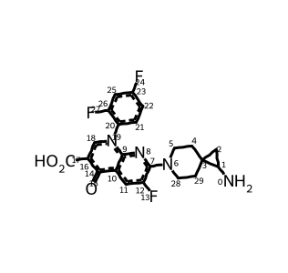 NC1CC12CCN(c1nc3c(cc1F)c(=O)c(C(=O)O)cn3-c1ccc(F)cc1F)CC2